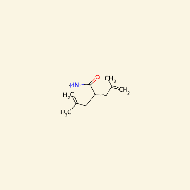 C=C(C)CC(CC(=C)C)C([NH])=O